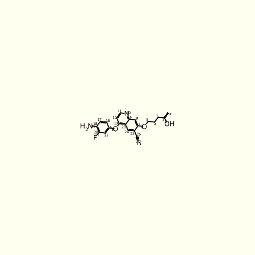 C=C(O)CCCOc1cc2nccc(Oc3ccc(N)c(F)c3)c2cc1C#N